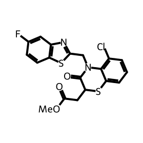 COC(=O)CC1Sc2cccc(Cl)c2N(Cc2nc3cc(F)ccc3s2)C1=O